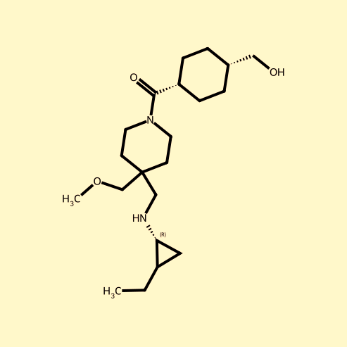 CCC1C[C@H]1NCC1(COC)CCN(C(=O)[C@H]2CC[C@@H](CO)CC2)CC1